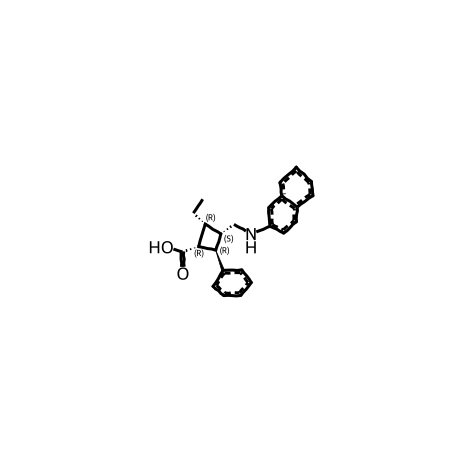 CC[C@@H]1[C@H](CNc2ccc3ccccc3c2)[C@@H](c2ccccc2)[C@@H]1C(=O)O